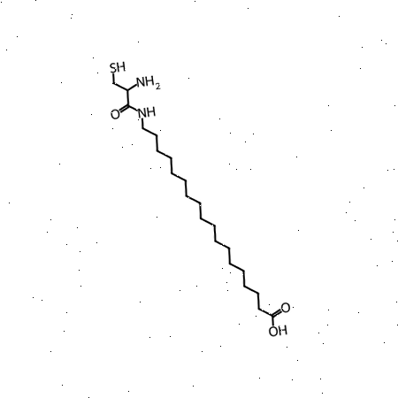 NC(CS)C(=O)NCCCCCCCCCCCCCCCCCC(=O)O